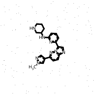 Cn1cc(-c2ccc3ncc(-c4cccc(NC5CCCNC5)n4)n3n2)cn1